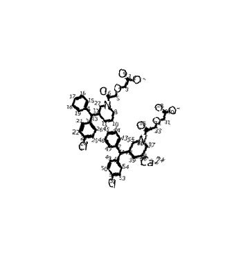 O=C([O-])COCC(=O)N1CCCC(C(c2ccccc2)c2ccc(Cl)cc2)C1.O=C([O-])COCC(=O)N1CCCC(C(c2ccccc2)c2ccc(Cl)cc2)C1.[Ca+2]